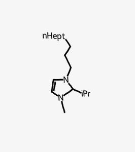 CCCCCCCCCCN1C=CN(C)C1C(C)C